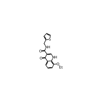 CCOc1cccc2c(=O)c(C(=O)NCc3cccs3)c[nH]c12